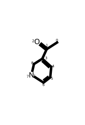 CC(=O)C1=CC=C[N]C1